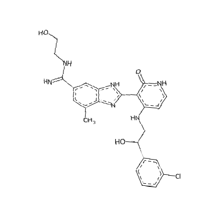 Cc1cc(C(=N)NCCO)cc2[nH]c(-c3c(NCC(O)c4cccc(Cl)c4)cc[nH]c3=O)nc12